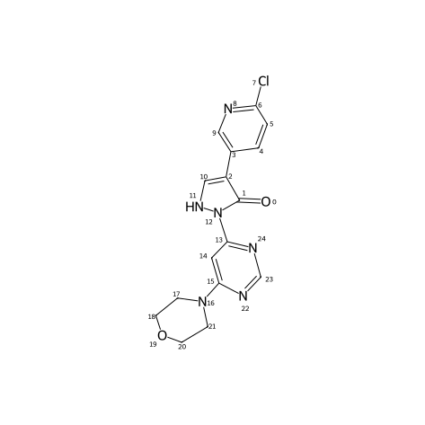 O=c1c(-c2ccc(Cl)nc2)c[nH]n1-c1cc(N2CCOCC2)ncn1